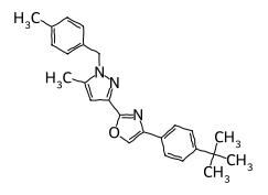 Cc1ccc(Cn2nc(-c3nc(-c4ccc(C(C)(C)C)cc4)co3)cc2C)cc1